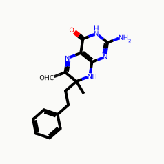 CC1(CCc2ccccc2)Nc2nc(N)[nH]c(=O)c2N=C1C=O